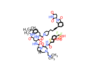 CN(C)CCN1CC[C@H]2CC[C@@H](C(=O)NC(CCC(N)=O)C(=O)NC(Cc3ccc(C(C)(C)C)cc3)C(=O)N3CCC(CCC#Cc4cccc5c4CN(C4CCC(=O)NC4=O)C5=O)CC3)N2C(=O)[C@@H](NC(=O)c2cc3cc(C(F)(F)P(=O)(O)O)ccc3s2)C1